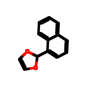 C1=COC(c2cccc3ccccc23)O1